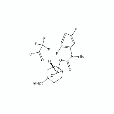 CCCCCCC[N+]12CCC(CC1)[C@@H](OC(=O)N(CCCC)c1cc(F)ccc1F)C2.O=C([O-])C(F)(F)F